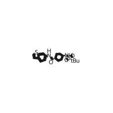 CC(C)(C)S(=O)(=O)N[C@H]1CC[C@H](C(=O)Nc2ccc3ccsc3c2)CC1